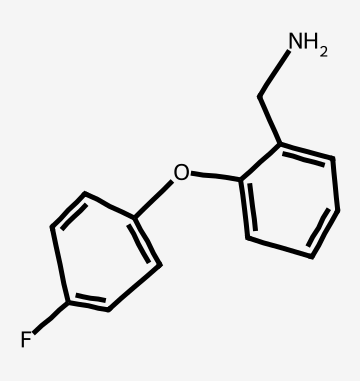 NCc1ccccc1Oc1ccc(F)cc1